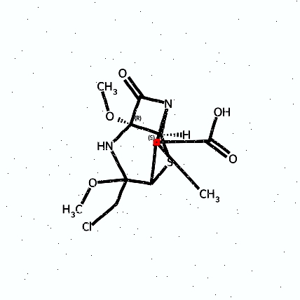 COC1(CCl)N[C@@]2(OC)C(=O)N3C(C(=O)O)=C(C)C1S[C@H]32